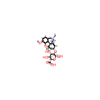 COc1ccc2c3c1O[C@H]1C[C@@H](O[C@@H]4[C@@H](O)[C@H](O)[C@@H](C(=O)O)O[C@H]4O)C=C[C@@]31CCN(C)C2